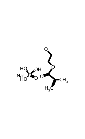 C=C(C)C(=O)OCC[O-].O=P(O)(O)O.[Na+]